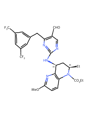 CCOC(=O)N1c2ccc(OC)nc2[C@@H](Nc2ncc(C=O)c(Cc3cc(C(F)(F)F)cc(C(F)(F)F)c3)n2)C[C@H]1CC